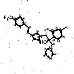 OC(Cn1ccc(/C=C/c2ccc(C(F)(F)F)cc2)c1)(Cn1cncn1)c1ccc(F)cc1F